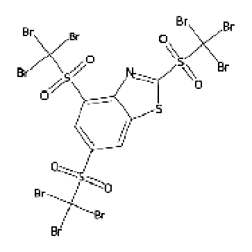 O=S(=O)(c1cc(S(=O)(=O)C(Br)(Br)Br)c2nc(S(=O)(=O)C(Br)(Br)Br)sc2c1)C(Br)(Br)Br